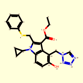 CCOC(=O)c1c(CSc2ccccc2)n(C2CC2)c2ccc(O)c(Cn3cnnn3)c12